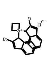 CCC1=Cc2ccccc2[CH]1[Zr+2]1([CH]2C(CC)=Cc3ccccc32)[CH2]C[CH2]1.[Cl-].[Cl-]